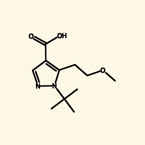 COCCc1c(C(=O)O)cnn1C(C)(C)C